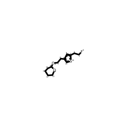 FCCc1cc(CCOC2CCCCO2)cs1